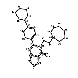 O=c1c2sccc2nc(C2=CC=C(C3CCCCC3)CC2)n1CCN1CCCCCC1